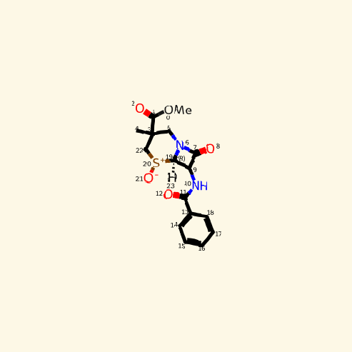 COC(=O)C1(C)CN2C(=O)C(NC(=O)c3ccccc3)[C@H]2[S+]([O-])C1